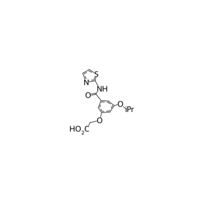 CC(C)Oc1cc(OCC(=O)O)cc(C(=O)Nc2nccs2)c1